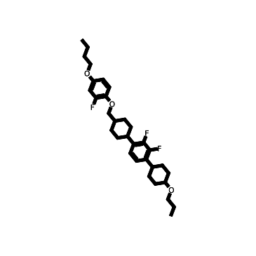 CCCCOc1ccc(OCC2CCC(c3ccc(C4CCC(OCCC)CC4)c(F)c3F)CC2)c(F)c1